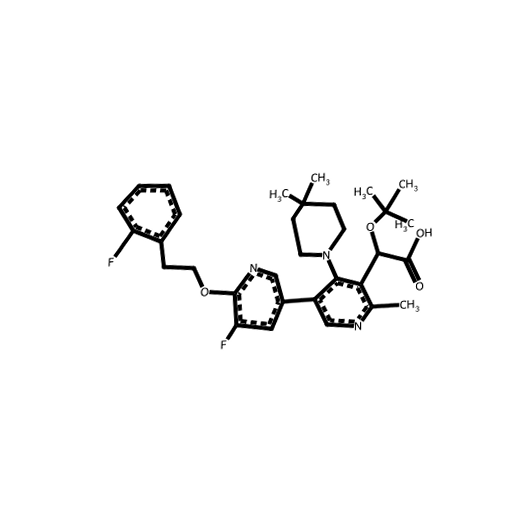 Cc1ncc(-c2cnc(OCCc3ccccc3F)c(F)c2)c(N2CCC(C)(C)CC2)c1C(OC(C)(C)C)C(=O)O